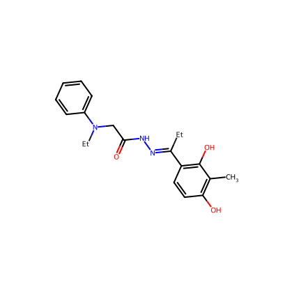 CC/C(=N\NC(=O)CN(CC)c1ccccc1)c1ccc(O)c(C)c1O